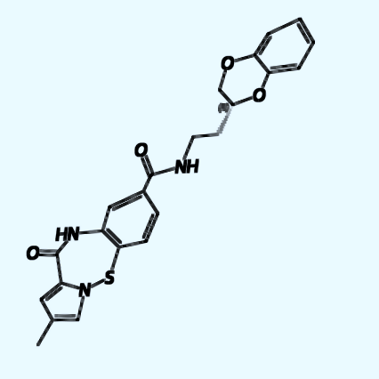 Cc1cc2n(c1)Sc1ccc(C(=O)NCC[C@@H]3COc4ccccc4O3)cc1NC2=O